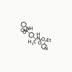 CC[C@H](OC(=O)N[C@@H](C)c1ccc(C(=O)Nc2ccccc2O)cc1)c1cccnc1